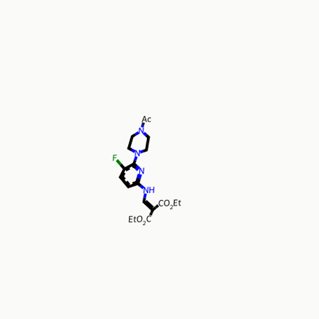 CCOC(=O)C(=CNc1ccc(F)c(N2CCN(C(C)=O)CC2)n1)C(=O)OCC